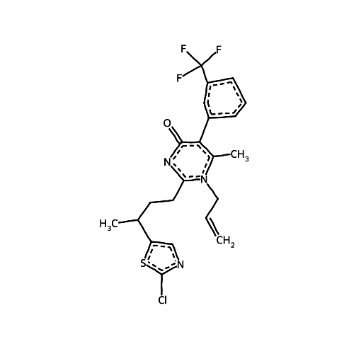 C=CCn1c(CCC(C)c2cnc(Cl)s2)nc(=O)c(-c2cccc(C(F)(F)F)c2)c1C